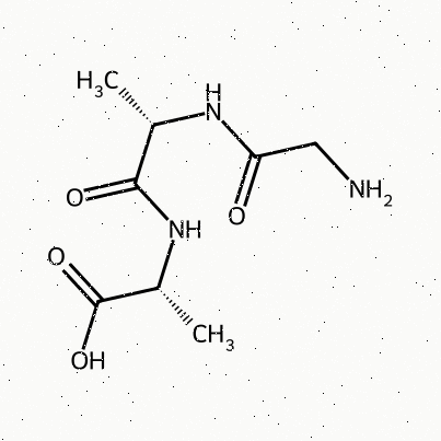 C[C@H](NC(=O)CN)C(=O)N[C@H](C)C(=O)O